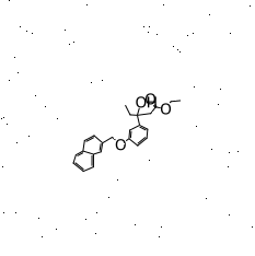 CCOC(=O)CC(O)(CC)c1cccc(OCc2ccc3ccccc3c2)c1